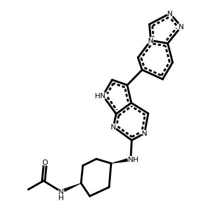 CC(=O)N[C@H]1CC[C@@H](Nc2ncc3c(-c4ccc5nncn5c4)c[nH]c3n2)CC1